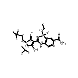 CCOP1(=O)N=C(C2=C(O)[C@H](C(C)(C)C)N(CCC(C)(C)C)C2=O)Nc2ccc(C(N)=O)cc21